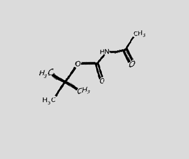 CC(=O)NC(=O)OC(C)(C)C